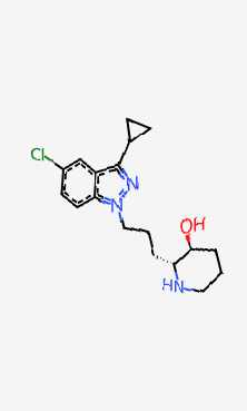 O[C@H]1CCCN[C@@H]1CCCn1nc(C2CC2)c2cc(Cl)ccc21